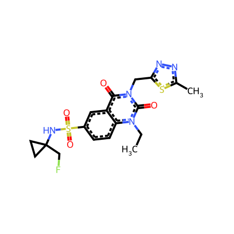 CCn1c(=O)n(Cc2nnc(C)s2)c(=O)c2cc(S(=O)(=O)NC3(CF)CC3)ccc21